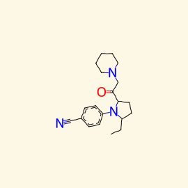 CCC1CCC(C(=O)CN2CCCCC2)N1c1ccc(C#N)cc1